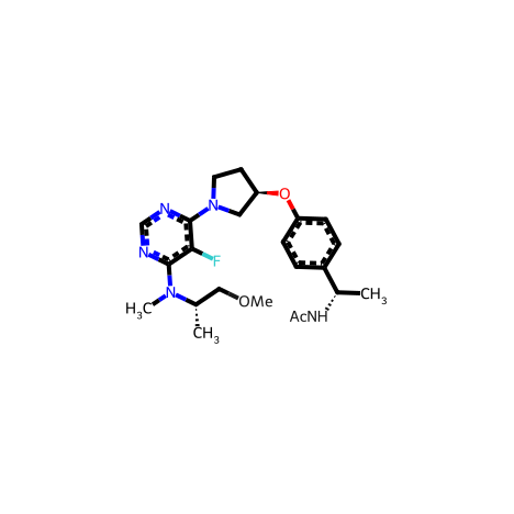 COC[C@H](C)N(C)c1ncnc(N2CC[C@@H](Oc3ccc([C@H](C)NC(C)=O)cc3)C2)c1F